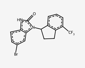 O=c1[nH]c2ccc(Br)cc2n1C1CCc2c1cccc2C(F)(F)F